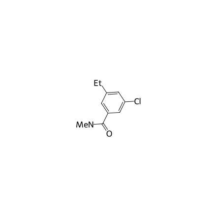 CCc1cc(Cl)cc(C(=O)NC)c1